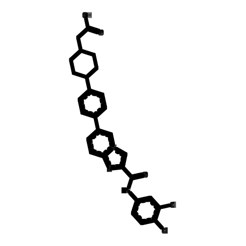 O=C(O)CC1CCC(c2ccc(-c3ccc4nc(C(=O)Nc5ccc(Cl)c(Cl)c5)cn4c3)cc2)CC1